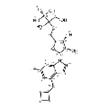 CC(CO)(OCC1O[C@@H](n2ncc3c(NC4CCC4)nc(Cl)nc32)[C@H](O)[C@@H]1O)P(=O)(O)O